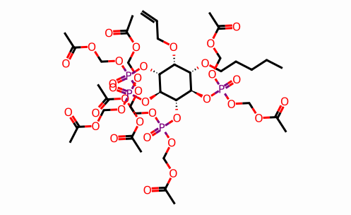 C=CCO[C@@H]1[C@H](OCCCCC)[C@@H](OP(=O)(OCOC(C)=O)OCOC(C)=O)[C@H](OP(=O)(OCOC(C)=O)OCOC(C)=O)[C@@H](OP(=O)(OCOC(C)=O)OCOC(C)=O)[C@@H]1OP(=O)(OCOC(C)=O)OCOC(C)=O